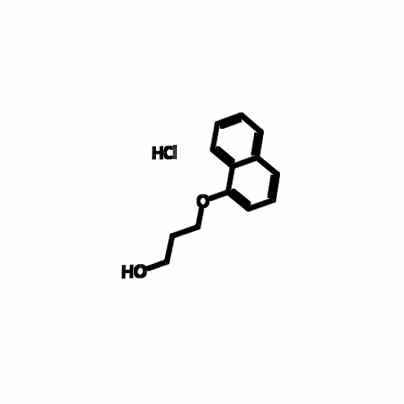 Cl.OCCCOc1cccc2ccccc12